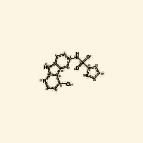 O=S(=O)(Nc1ccc2[nH]c3nccc(Cl)c3c2c1)c1cccs1